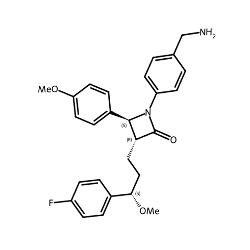 COc1ccc([C@@H]2[C@@H](CC[C@H](OC)c3ccc(F)cc3)C(=O)N2c2ccc(CN)cc2)cc1